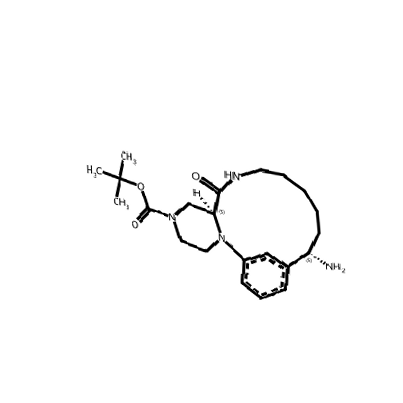 CC(C)(C)OC(=O)N1CCN2c3cccc(c3)[C@@H](N)CCCCCNC(=O)[C@@H]2C1